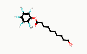 O=C(CCCCCCCCCO)Oc1c(F)c(F)c(F)c(F)c1F